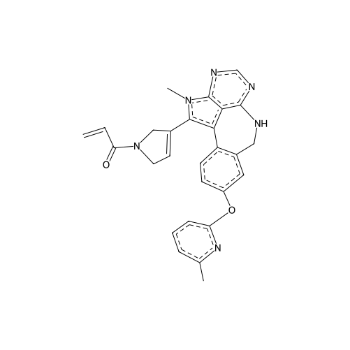 C=CC(=O)N1CC=C(c2c3c4c(ncnc4n2C)NCc2cc(Oc4cccc(C)n4)ccc2-3)C1